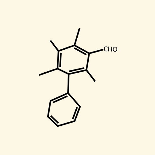 Cc1c(C)c(C=O)c(C)c(-c2ccccc2)c1C